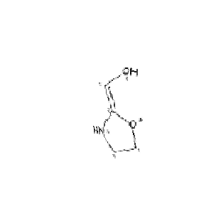 OC=C1NCCO1